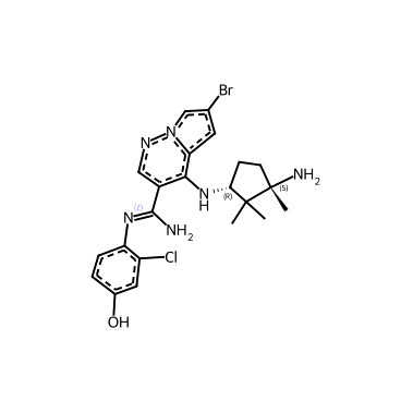 CC1(C)[C@H](Nc2c(/C(N)=N/c3ccc(O)cc3Cl)cnn3cc(Br)cc23)CC[C@]1(C)N